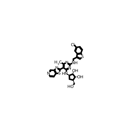 Cc1nc(NCc2csc3ccc(Cl)cc23)nc(N[C@@H]2C[C@H](CO)[C@@H](O)[C@H]2O)c1-c1nc2cnccc2s1